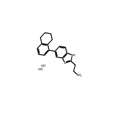 Cl.Cl.NCCc1nc2cc(-c3cccc4c3CCCC4)ccc2[nH]1